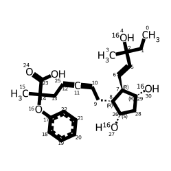 CCC(C)([16OH])C=C[C@@H]1[C@@H](CC=C=CCC(C)(Oc2ccccc2)C(=O)O)[C@@H]([16OH])C[C@H]1[16OH]